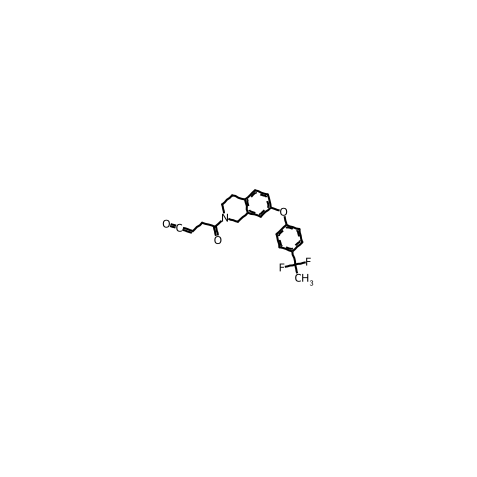 CC(F)(F)c1ccc(Oc2ccc3c(c2)CN(C(=O)CC=C=O)CC3)cc1